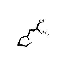 [CH2]CC(N)CC1CCCO1